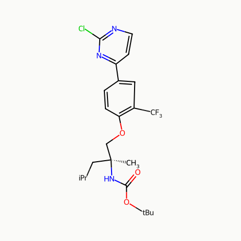 CC(C)C[C@@](C)(COc1ccc(-c2ccnc(Cl)n2)cc1C(F)(F)F)NC(=O)OC(C)(C)C